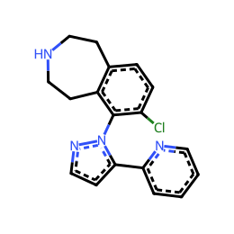 Clc1ccc2c(c1-n1nccc1-c1ccccn1)CCNCC2